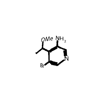 COC(C)c1c(N)cncc1Br